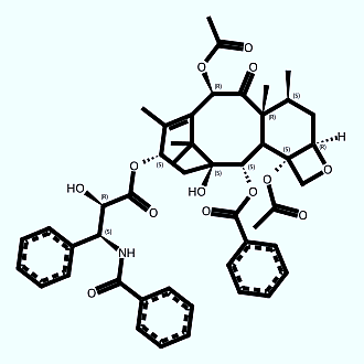 CC(=O)O[C@H]1C(=O)[C@@]2(C)C([C@H](OC(=O)c3ccccc3)[C@]3(O)C[C@H](OC(=O)[C@H](O)[C@@H](NC(=O)c4ccccc4)c4ccccc4)C(C)=C1C3(C)C)[C@]1(OC(C)=O)CO[C@@H]1C[C@@H]2C